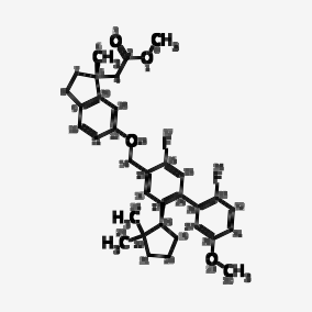 COC(=O)C[C@@]1(C)CCc2ccc(OCc3cc([C@H]4CCCC4(C)C)c(-c4cc(OC)ccc4F)cc3F)cc21